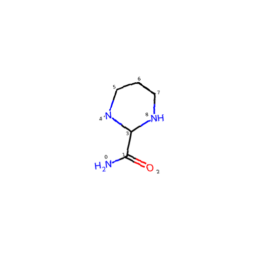 NC(=O)C1[N]CCCN1